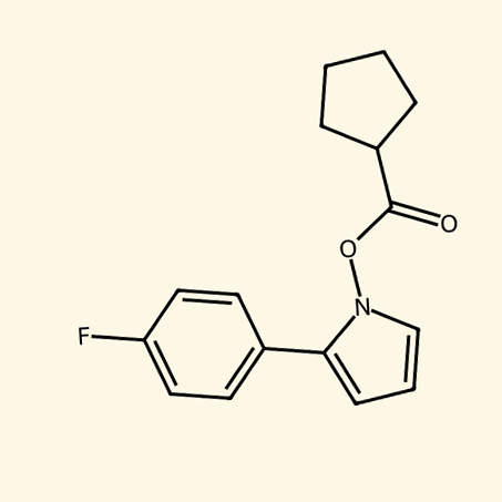 O=C(On1cccc1-c1ccc(F)cc1)C1CCCC1